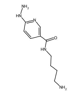 NCCCCNC(=O)c1ccc(NN)nc1